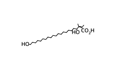 CC(C(=O)O)=C(C)C(O)CCCCCCCCCCCCCCCCCCO